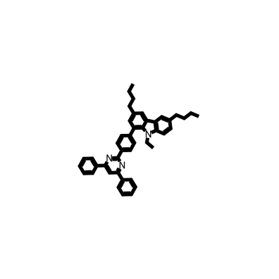 CCCCc1ccc2c(c1)c1cc(CCCC)cc(-c3ccc(-c4nc(-c5ccccc5)cc(-c5ccccc5)n4)cc3)c1n2CC